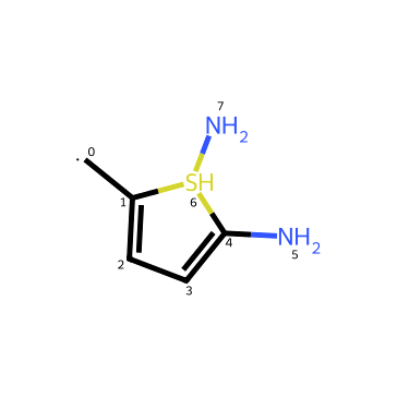 [CH2]C1=CC=C(N)[SH]1N